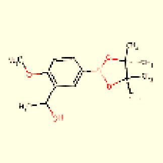 COc1ccc(B2OC(C)(C)C(C)(C)O2)cc1C(C)O